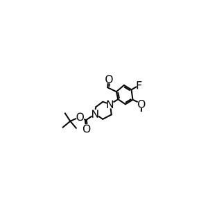 COc1cc(N2CCN(C(=O)OC(C)(C)C)CC2)c(C=O)cc1F